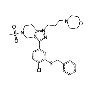 CS(=O)(=O)N1CCc2c(c(-c3ccc(Cl)c(SCc4ccccc4)c3)nn2CCCN2CCOCC2)C1